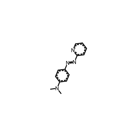 CN(C)c1ccc(N=Nc2ccccn2)cc1